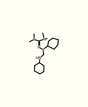 CN(C)C(=NN(CNC1CCCCC1)C1CCCCC1)N(C)C